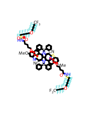 COc1ccc2sc(/C(C#N)=c3\c4c(-c5ccc(OCCCCC(=O)NS(=O)(=O)C(F)(F)C(F)(F)C(F)(F)C(F)(F)OC(F)(F)C(F)(F)C(F)(F)C(F)(F)F)cc5)n(B(c5ccccc5)c5ccccc5)/c(=C(\C#N)c5nc6cc(OC)ccc6s5)c4c(-c4ccc(OCCCCC(=O)NSC(F)(F)C(F)(F)C(F)(F)C(F)(F)OC(F)(F)C(F)(F)C(F)(F)C(F)(F)F)cc4)n3B(c3ccccc3)c3ccccc3)nc2c1